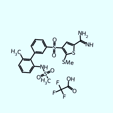 CSc1sc(C(=N)N)cc1S(=O)(=O)c1cccc(-c2c(C)cccc2NS(C)(=O)=O)c1.O=C(O)C(F)(F)F